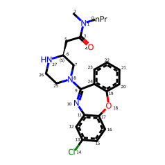 CCCN(C)C(=O)C[C@H]1CN(C2=Nc3cc(Cl)ccc3Oc3ccccc32)CCN1